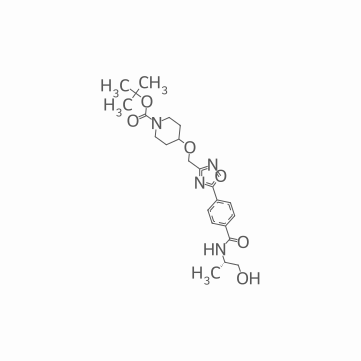 C[C@@H](CO)NC(=O)c1ccc(-c2nc(COC3CCN(C(=O)OC(C)(C)C)CC3)no2)cc1